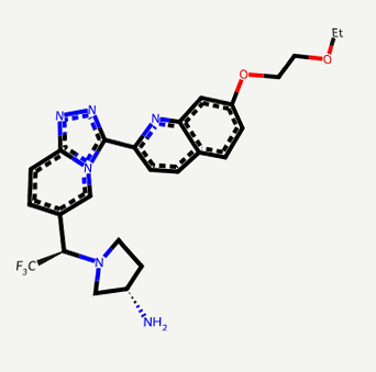 CCOCCOc1ccc2ccc(-c3nnc4ccc([C@@H](N5CC[C@H](N)C5)C(F)(F)F)cn34)nc2c1